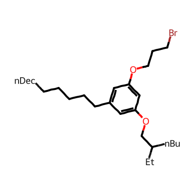 CCCCCCCCCCCCCCCc1cc(OCCCBr)cc(OCC(CC)CCCC)c1